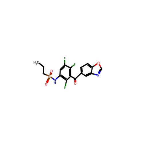 CCCS(=O)(=O)Nc1cc(F)c(F)c(C(=O)c2ccc3ocnc3c2)c1F